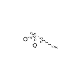 CCCCCCCCCCCCCCCC(=O)OCCC1OC(=O)C(OCc2ccccc2)=C1OCc1ccccc1